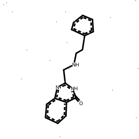 O=c1[nH]c(CNCCc2ccccc2)nc2ccccc12